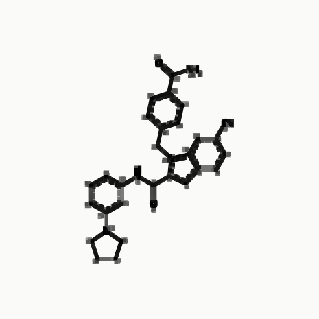 N#Cc1ccc2cc(C(=O)Nc3cccc(N4CCCC4)c3)n(Cc3ccc(C(N)=O)cc3)c2c1